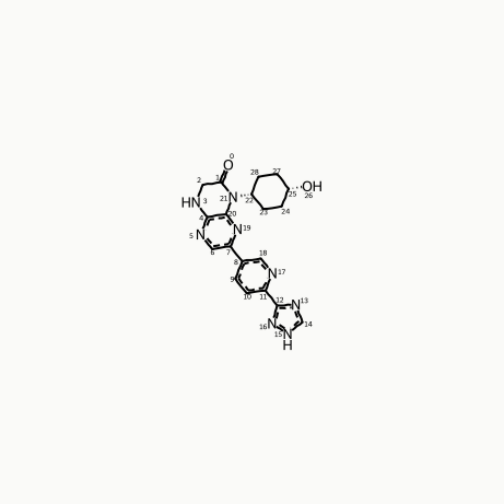 O=C1CNc2ncc(-c3ccc(-c4nc[nH]n4)nc3)nc2N1[C@H]1CC[C@@H](O)CC1